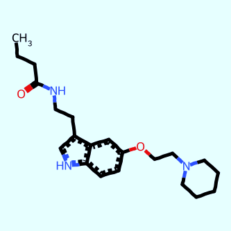 CCCC(=O)NCCc1c[nH]c2ccc(OCCN3CCCCC3)cc12